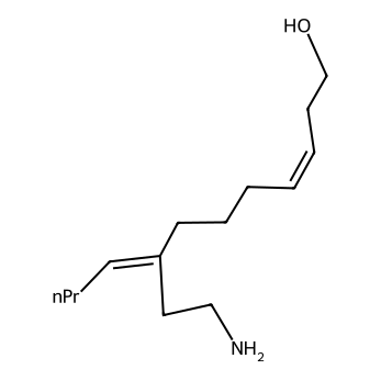 CCC/C=C(\CCN)CCC/C=C\CCO